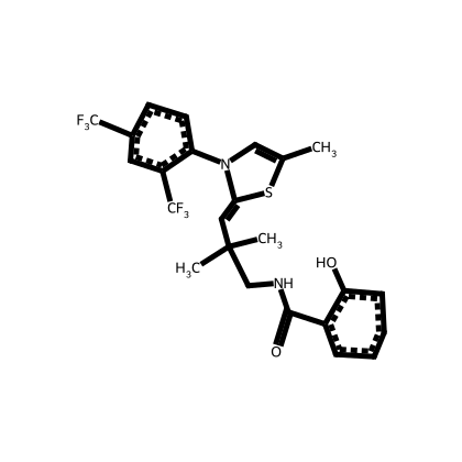 CC1=CN(c2ccc(C(F)(F)F)cc2C(F)(F)F)C(=CC(C)(C)CNC(=O)c2ccccc2O)S1